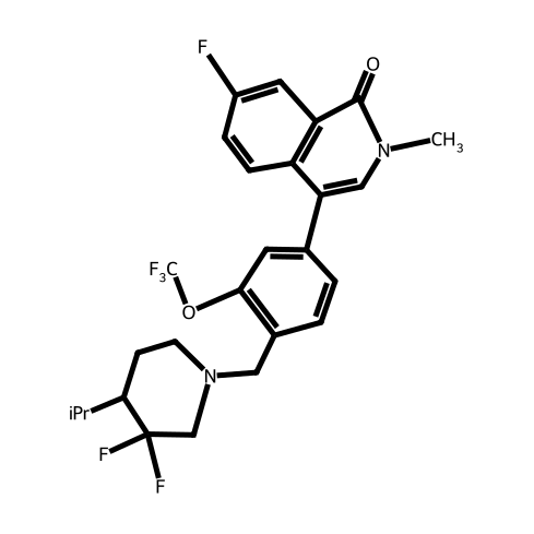 CC(C)C1CCN(Cc2ccc(-c3cn(C)c(=O)c4cc(F)ccc34)cc2OC(F)(F)F)CC1(F)F